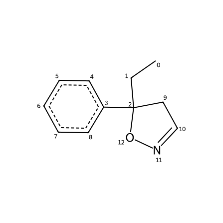 CCC1(c2ccccc2)CC=NO1